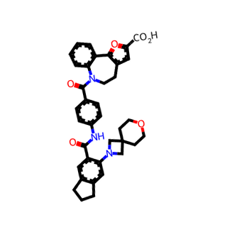 O=C(O)c1cc2c(o1)-c1ccccc1N(C(=O)c1ccc(NC(=O)c3cc4c(cc3N3CC5(CCOCC5)C3)CCC4)cc1)CC2